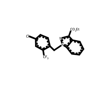 CCOC(=O)c1nn(Cc2ccc(Cl)cc2C(F)(F)F)c2ccccc12